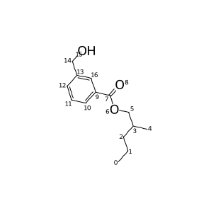 CCCC(C)COC(=O)c1cccc(CO)c1